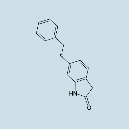 O=C1Cc2ccc(SCc3ccccc3)cc2N1